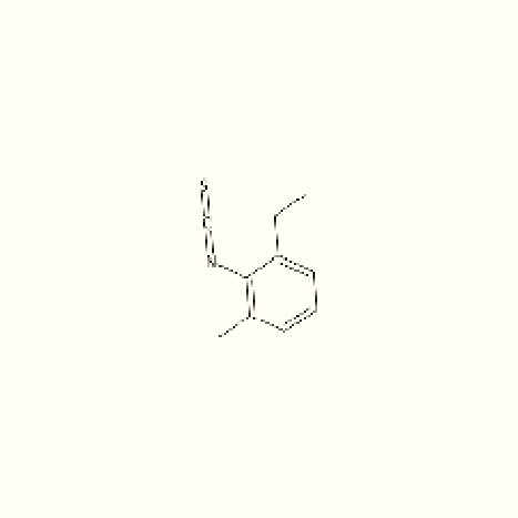 CCc1cccc(C)c1N=C=S